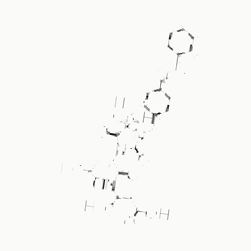 CC(C)C[C@@H](C(=O)N[C@H](C)CC(=O)O)N1C(=O)N(Cc2ccc(OCc3ccccc3)cc2)C(C)(C)C1=O